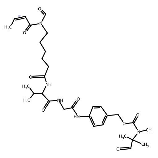 C/C=C\C(=O)N(C=O)CCCCCC(=O)NC(C(=O)NCC(=O)Nc1ccc(COC(=O)N(C)C(C)(C)C=O)cc1)C(C)C